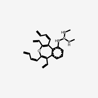 C=C/C=C\C1=C(C=C)c2cccc(BN(BC)BC)c2C(/C=C\C=C)=C(C=C)O1